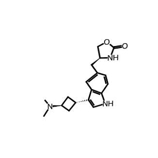 CN(C)[C@H]1C[C@H](c2c[nH]c3ccc(C[C@H]4COC(=O)N4)cc32)C1